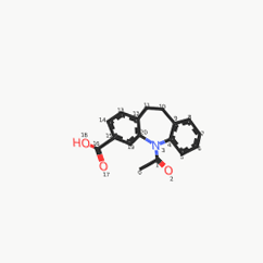 CC(=O)N1c2ccccc2CCc2ccc(C(=O)O)cc21